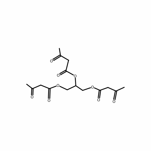 CC(=O)CC(=O)OCC(COC(=O)CC(C)=O)OC(=O)CC(C)=O